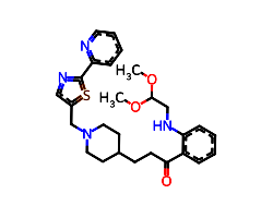 COC(CNc1ccccc1C(=O)CCC1CCN(Cc2cnc(-c3ccccn3)s2)CC1)OC